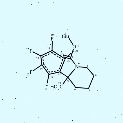 CC(C)(C)OC(=O)N1CCCCC1(C(=O)O)c1c(F)c(F)c(F)c(F)c1F